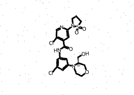 O=C(Nc1cc(Cl)cc(N2CCOC[C@@H]2CO)c1)c1cc(N2CCCS2(=O)=O)ncc1Cl